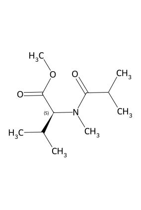 COC(=O)[C@H](C(C)C)N(C)C(=O)C(C)C